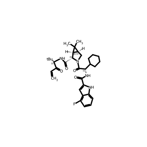 C=CC(=O)[C@@H](NC(=O)[C@@H]1[C@@H]2[C@H](CN1C(=O)[C@@H](NC(=O)c1cc3c(F)cccc3[nH]1)C1CCCCC1)C2(C)C)C(C)(C)C